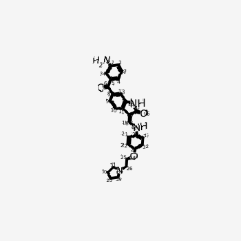 Nc1cccc(C(=O)c2ccc3c(c2)NC(=O)C3=CNc2ccc(OCCN3CCCC3)cc2)c1